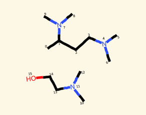 CC(CCN(C)C)N(C)C.CN(C)CCO